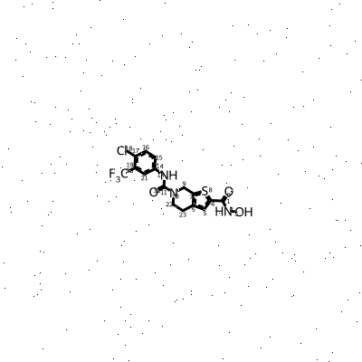 O=C(NO)c1cc2c(s1)CN(C(=O)Nc1ccc(Cl)c(C(F)(F)F)c1)CC2